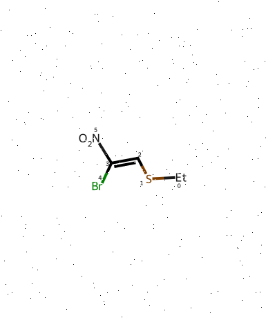 CCSC=C(Br)[N+](=O)[O-]